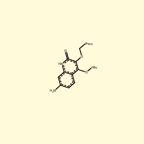 CCCCOc1c(OCC(C)CCC)c(=O)[nH]c2cc(N)ccc12